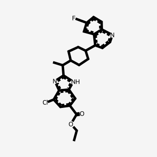 CCOC(=O)c1cc(Cl)c2nc(C(C)C3CCC(c4ccnc5ccc(F)cc45)CC3)[nH]c2c1